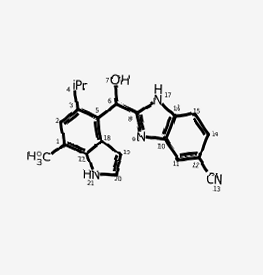 Cc1cc(C(C)C)c(C(O)c2nc3cc(C#N)ccc3[nH]2)c2cc[nH]c12